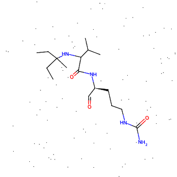 CCC(C)(CC)NC(C(=O)N[C@H](C=O)CCCNC(N)=O)C(C)C